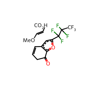 CO/C=C/C(=O)O.O=C1CC=Cc2cc(C(F)(F)C(F)(F)C(F)(F)F)oc21